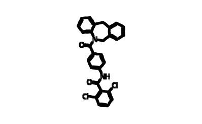 O=C(Nc1ccc(C(=O)N2Cc3ccccc3Cc3ccccc32)cc1)c1c(Cl)cccc1Cl